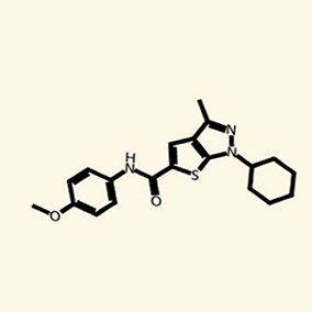 COc1ccc(NC(=O)c2cc3c(C)nn(C4CCCCC4)c3s2)cc1